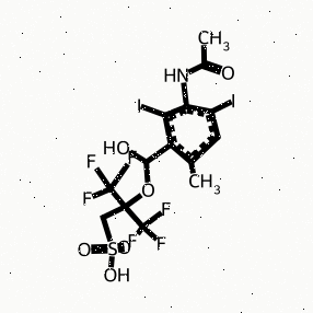 CC(=O)Nc1c(I)cc(C)c(C(O)OC(CS(=O)(=O)O)(C(F)(F)F)C(F)(F)F)c1I